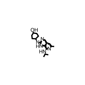 Cc1cc2cnc(NC3CCC(O)CC3)nc2c(NC(C)C)n1